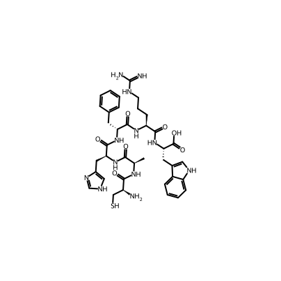 C[C@@H](NC(=O)[C@@H](N)CS)C(=O)N[C@@H](Cc1c[nH]cn1)C(=O)N[C@H](Cc1ccccc1)C(=O)N[C@@H](CCCNC(=N)N)C(=O)N[C@@H](Cc1c[nH]c2ccccc12)C(=O)O